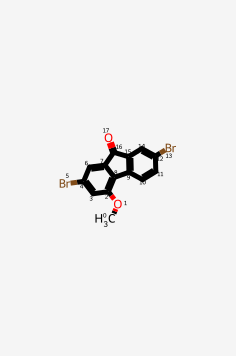 COc1cc(Br)cc2c1-c1ccc(Br)cc1C2=O